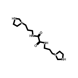 O=C(NCCCN1CCNC1)C(=O)NCCCN1CCNC1